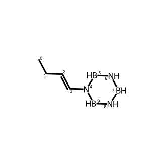 CCC=CN1BNBNB1